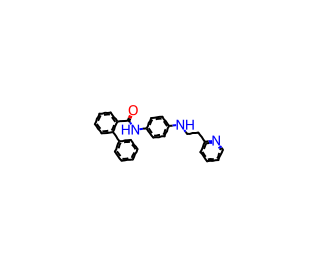 O=C(Nc1ccc(NCCc2ccccn2)cc1)c1ccccc1-c1ccccc1